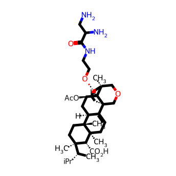 CC(=O)O[C@@H]1C[C@@]23COC[C@@](C)([C@@H]2CC[C@H]2C3=CC[C@@]3(C)[C@H](C(=O)O)[C@@](C)([C@H](C)C(C)C)CC[C@]23C)[C@H]1OCCNC(=O)C(N)CN